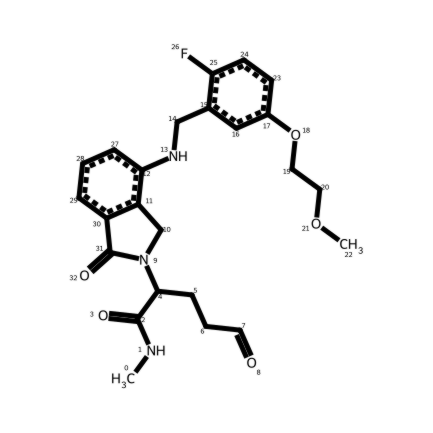 CNC(=O)C(CCC=O)N1Cc2c(NCc3cc(OCCOC)ccc3F)cccc2C1=O